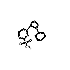 CS(=O)(=O)c1nccc(-c2ccnn2-c2ccccc2)n1